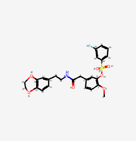 COc1ccc(CC(=O)NCCc2ccc3c(c2)OCCO3)cc1OS(=O)(=O)c1cccc(F)c1